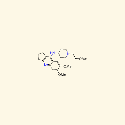 COCCN1CCC(Nc2c3c(nc4cc(OC)c(OC)cc24)CCC3)CC1